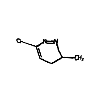 CC1CC=C(Cl)N=N1